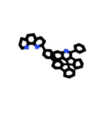 c1ccc(-c2nc3ccccc3c3c2-c2ccccc2C32c3ccccc3-c3ccc(-c4ccc(-c5ccc6ccc7cccnc7c6n5)cc4)cc32)cc1